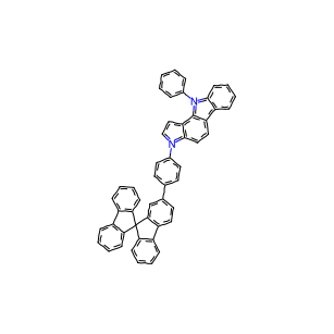 c1ccc(-n2c3ccccc3c3ccc4c(ccn4-c4ccc(-c5ccc6c(c5)C5(c7ccccc7-c7ccccc75)c5ccccc5-6)cc4)c32)cc1